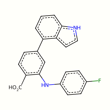 O=C(O)c1ccc(-c2cccc3[nH]ccc23)cc1Nc1ccc(F)cc1